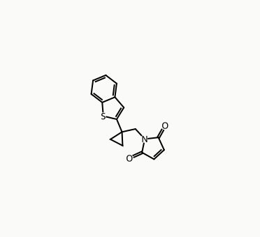 O=C1C=CC(=O)N1CC1(c2cc3ccccc3s2)CC1